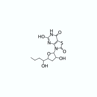 CCCC(O)C1CC(O)C(n2c(=O)sc3c(=O)[nH]c(O)nc32)O1